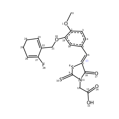 COc1ccc(/C=C2\SC(=S)N(CC(=O)O)C2=O)cc1OCC1=CCCC=C1F